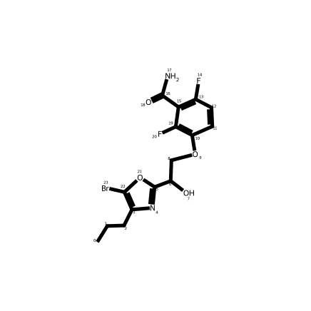 CCCc1nc(C(O)COc2ccc(F)c(C(N)=O)c2F)oc1Br